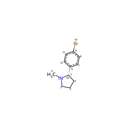 CN1CCC[C@H]1c1ccc(Br)cc1